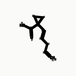 C=CCC=CC1(C(=O)O)CC1